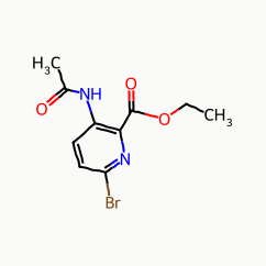 CCOC(=O)c1nc(Br)ccc1NC(C)=O